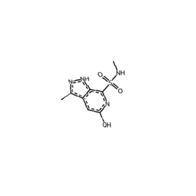 CNS(=O)(=O)c1nc(O)cc2c(C)n[nH]c12